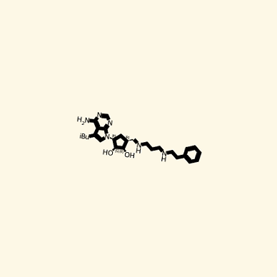 CCC(C)c1cn([C@@H]2C[C@H](CNCCCNCCc3ccccc3)[C@@H](O)[C@H]2O)c2ncnc(N)c12